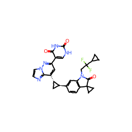 O=C1N(CC(F)(F)C2CC2)c2cc([C@H]3C[C@@H]3c3cc(-c4c[nH]c(=O)[nH]c4=O)nn4ccnc34)ccc2C12CC2